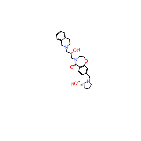 O=C1c2ccc(CN3CCC[C@@H]3CO)cc2OCCN1CC(O)CN1CCc2ccccc2C1